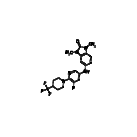 Cn1c(=O)n(C)c2cc(Nc3cnc(N4CCC(C(F)(F)F)CC4)c(F)c3)ccc21